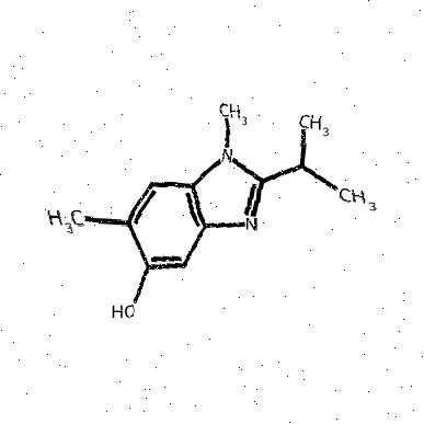 Cc1cc2c(cc1O)nc(C(C)C)n2C